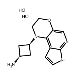 Cl.Cl.N[C@H]1C[C@@H](N2CCOc3cnc4[nH]ccc4c32)C1